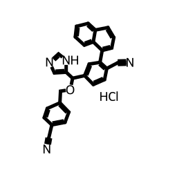 Cl.N#Cc1ccc(COC(c2ccc(C#N)c(-c3cccc4ccccc34)c2)c2cnc[nH]2)cc1